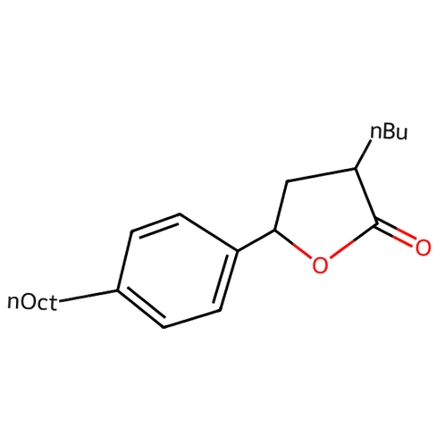 CCCCCCCCc1ccc(C2CC(CCCC)C(=O)O2)cc1